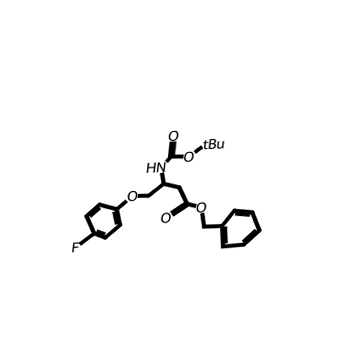 CC(C)(C)OC(=O)NC(COc1ccc(F)cc1)CC(=O)OCc1ccccc1